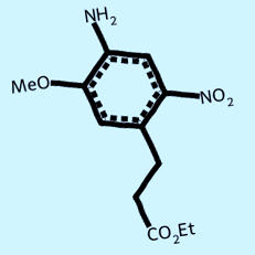 CCOC(=O)CCc1cc(OC)c(N)cc1[N+](=O)[O-]